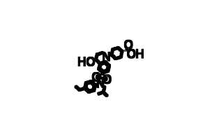 CCc1ccc(N(CC(C)C)S(=O)(=O)c2ccc3c(c2)C(O)CCN3[C@H]2CC[C@@H](C(=O)O)CC2)cc1